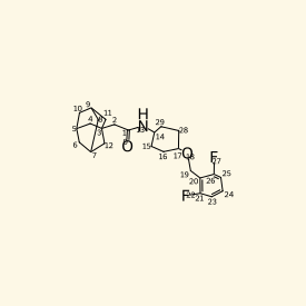 O=C(CC12CC3CC(CC(C3)C1)C2)NC1CCC(OCc2c(F)cccc2F)CC1